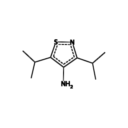 CC(C)c1nsc(C(C)C)c1N